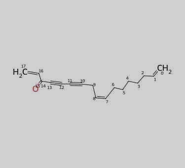 C=CCCCCC/C=C\CC#CC#CC(=O)C=C